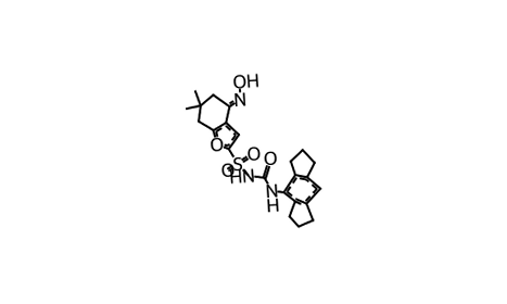 CC1(C)CC(=NO)c2cc(S(=O)(=O)NC(=O)Nc3c4c(cc5c3CCC5)CCC4)oc2C1